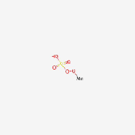 O=S(=O)(O)O[O][Mn]